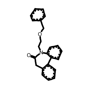 O=C1Cc2ccccc2-c2ccccc2N1CCOCc1ccccc1